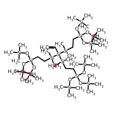 C=C[Si]([Si](C)(C)CC[Si](O[Si](C)(C)C)(O[Si](C)(C)C)O[Si](C)(C)C)([Si](C)(C)CC[Si](O[Si](C)(C)C)(O[Si](C)(C)C)O[Si](C)(C)C)[Si](C)(C)CC[Si](O[Si](C)(C)C)(O[Si](C)(C)C)O[Si](C)(C)C